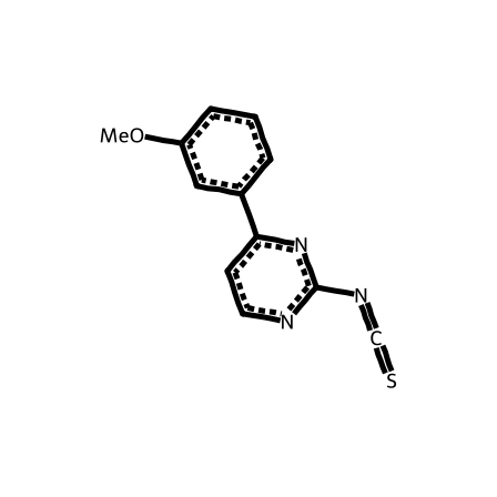 COc1cccc(-c2ccnc(N=C=S)n2)c1